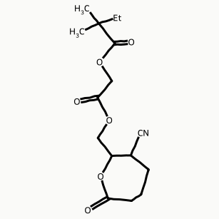 CCC(C)(C)C(=O)OCC(=O)OCC1OC(=O)CCCC1C#N